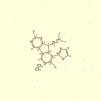 C[C](C)=[Zr+2][CH]1c2cc(C)ccc2-c2ccc(C)c(C3=CC=CC3)c21.[Cl-].[Cl-]